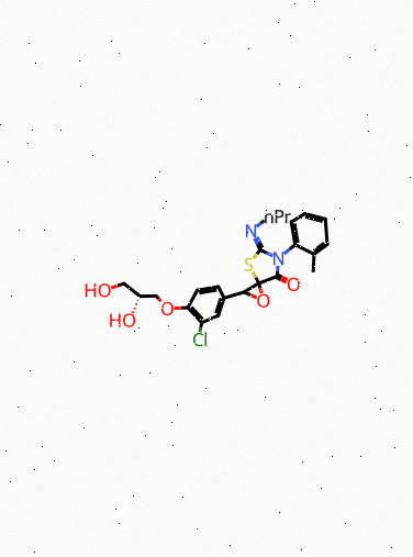 CCC/N=C1/SC2(OC2c2ccc(OC[C@H](O)CO)c(Cl)c2)C(=O)N1c1ccccc1C